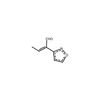 CC=C(C=O)c1ccon1